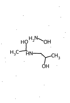 CC(O)CNC(C)O.NO